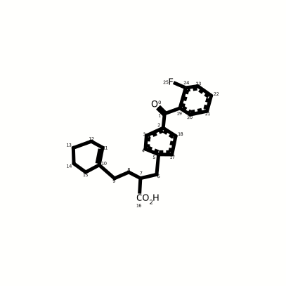 O=C(c1ccc(CC(CCC2=CCCCC2)C(=O)O)cc1)c1ccccc1F